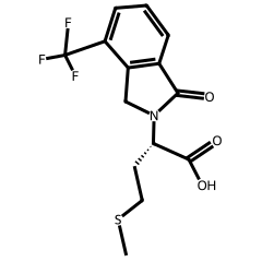 CSCC[C@@H](C(=O)O)N1Cc2c(cccc2C(F)(F)F)C1=O